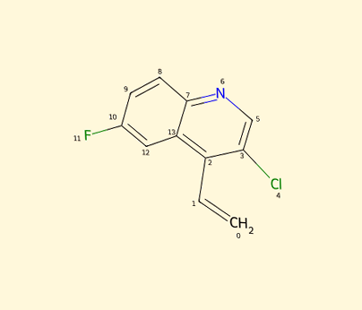 C=Cc1c(Cl)cnc2ccc(F)cc12